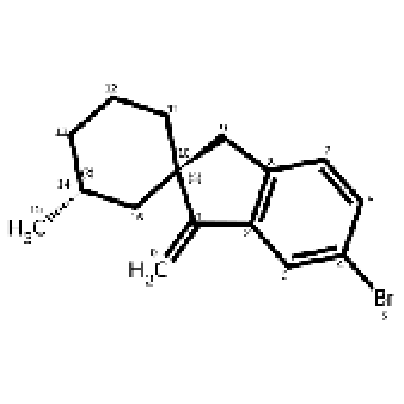 C=C1c2cc(Br)ccc2C[C@@]12CCC[C@@H](C)C2